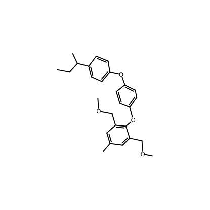 CCC(C)c1ccc(Oc2ccc(Oc3c(COC)cc(C)cc3COC)cc2)cc1